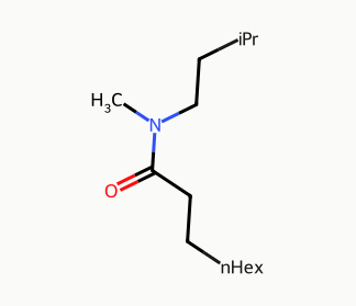 CCCCCCCCC(=O)N(C)CCC(C)C